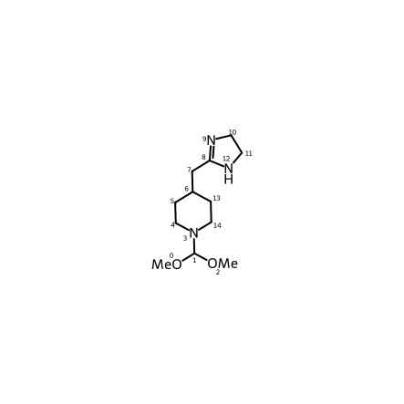 COC(OC)N1CCC(CC2=NCCN2)CC1